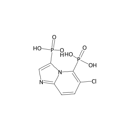 O=P(O)(O)c1cnc2ccc(Cl)c(P(=O)(O)O)n12